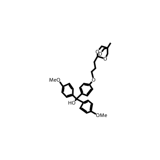 COc1ccc(C(O)(c2ccc(OC)cc2)c2ccc(OCCCC34OCC(C)(CO3)CO4)cc2)cc1